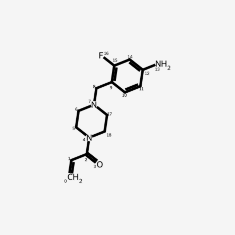 C=CC(=O)N1CCN(Cc2ccc(N)cc2F)CC1